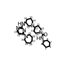 O=C(NC1CCCCC1)N1CCC(N2CCCC(Nc3nccc(N4CCCCCC4)n3)C2)CC1